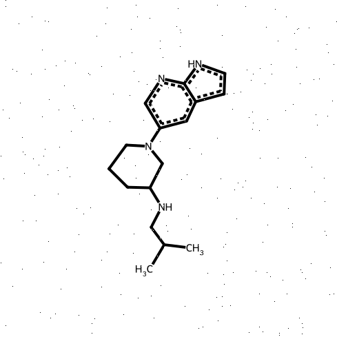 CC(C)CNC1CCCN(c2cnc3[nH]c[c]c3c2)C1